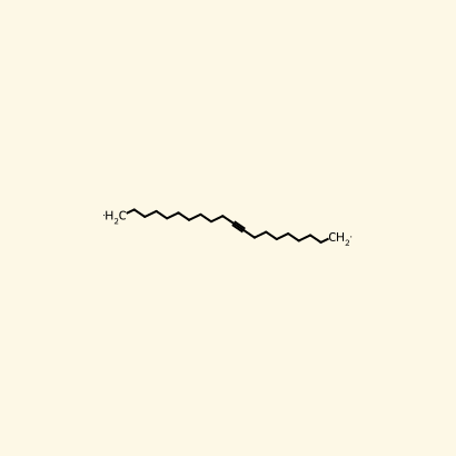 [CH2]CCCCCCCC#CCCCCCCCCC[CH2]